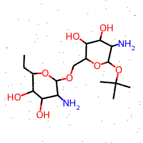 CCC1OC(OCC2OC(OC(C)(C)C)C(N)C(O)C2O)C(N)C(O)C1O